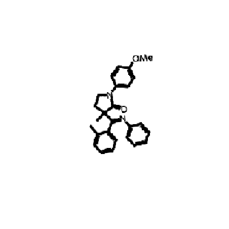 COc1ccc(N2CCC(C)(C(=Nc3ccccc3)c3ccccc3C)C2=O)cc1